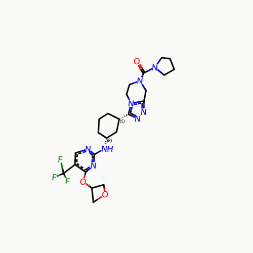 O=C(N1CCCC1)N1CCn2c(nnc2[C@H]2CCC[C@@H](Nc3ncc(C(F)(F)F)c(OC4COC4)n3)C2)C1